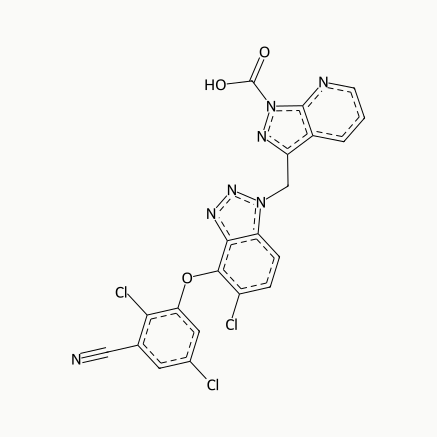 N#Cc1cc(Cl)cc(Oc2c(Cl)ccc3c2nnn3Cc2nn(C(=O)O)c3ncccc23)c1Cl